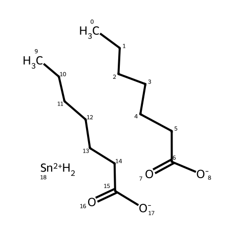 CCCCCCC(=O)[O-].CCCCCCC(=O)[O-].[SnH2+2]